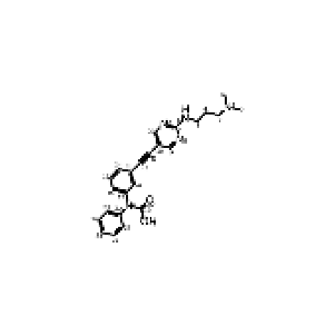 CN(C)CCCNc1ncc(C#Cc2cccc(N(C(=O)O)c3ccccc3)c2)cn1